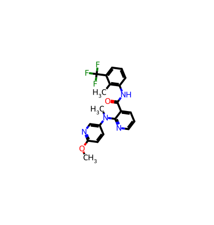 COc1ccc(N(C)c2ncccc2C(=O)Nc2cccc(C(F)(F)F)c2C)cn1